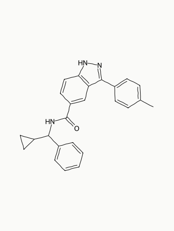 Cc1ccc(-c2n[nH]c3ccc(C(=O)NC(c4ccccc4)C4CC4)cc23)cc1